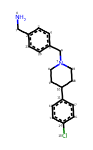 NCc1ccc(CN2CCC(c3ccc(Cl)cc3)CC2)cc1